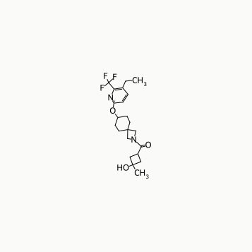 CCc1ccc(OC2CCC3(CC2)CN(C(=O)C2CC(C)(O)C2)C3)nc1C(F)(F)F